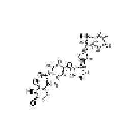 O=C1CCC(N2Cc3cc(O[C@H]4CCC[C@@H]4N4CC(c5c[nH]c6ccccc56)C4)ccc3C2=O)C(=O)N1